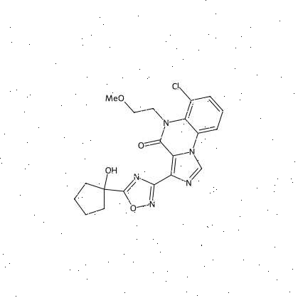 COCCn1c(=O)c2c(-c3noc(C4(O)CCCC4)n3)ncn2c2cccc(Cl)c21